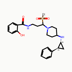 CCS(=O)(=O)C(CCNC(=O)c1ccccc1O)N1CCC(N[C@@H]2C[C@H]2c2ccccc2)CC1